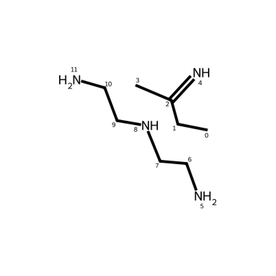 CCC(C)=N.NCCNCCN